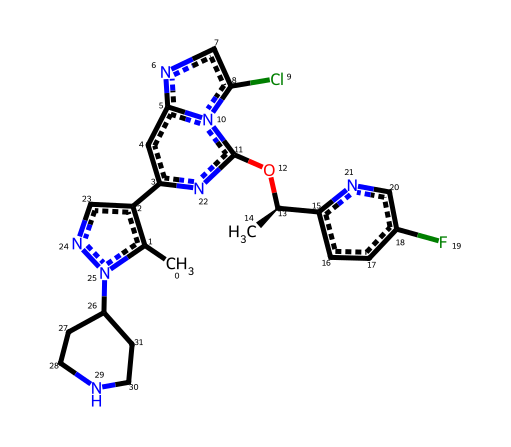 Cc1c(-c2cc3ncc(Cl)n3c(O[C@H](C)c3ccc(F)cn3)n2)cnn1C1CCNCC1